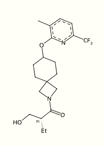 CC[C@H](CO)C(=O)N1CC2(CCC(Oc3nc(C(F)(F)F)ccc3C)CC2)C1